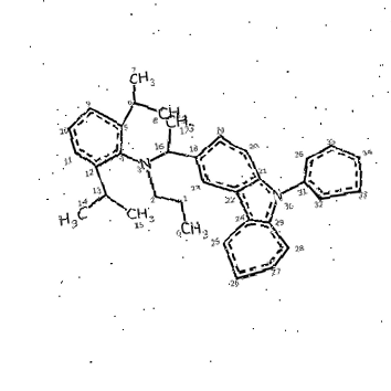 CCCN(c1c(C(C)C)cccc1C(C)C)C(C)c1ccc2c(c1)c1ccccc1n2-c1ccccc1